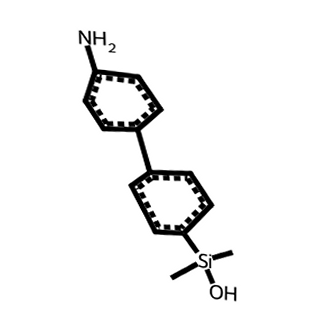 C[Si](C)(O)c1ccc(-c2ccc(N)cc2)cc1